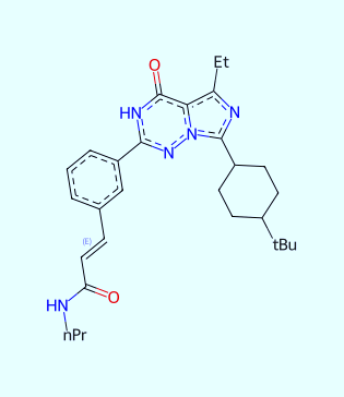 CCCNC(=O)/C=C/c1cccc(-c2nn3c(C4CCC(C(C)(C)C)CC4)nc(CC)c3c(=O)[nH]2)c1